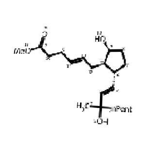 CCCCCC(C)(O)/C=C/[C@H]1CC[C@H](O)[C@@H]1C/C=C/CCC(=O)OC